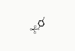 O=P(Cl)(Cl)Sc1ccc(F)cc1